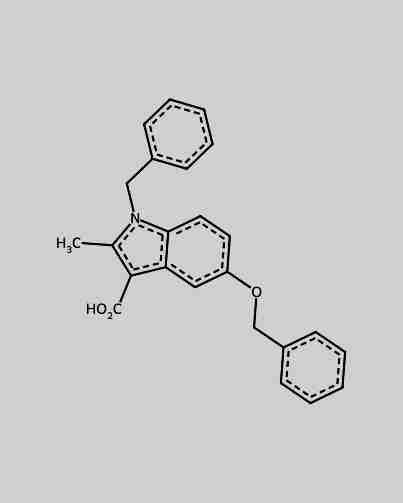 Cc1c(C(=O)O)c2cc(OCc3ccccc3)ccc2n1Cc1ccccc1